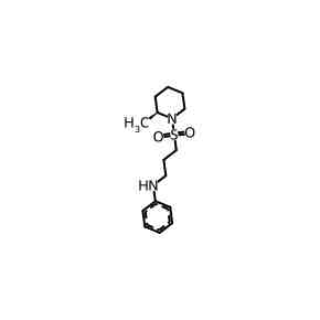 C[C@H]1CCCCN1S(=O)(=O)CCCNc1ccccc1